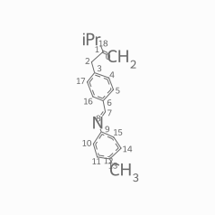 C=C(Cc1ccc(/C=N/c2ccc(C)cc2)cc1)C(C)C